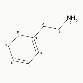 NCCC1=CC=CC[CH]1